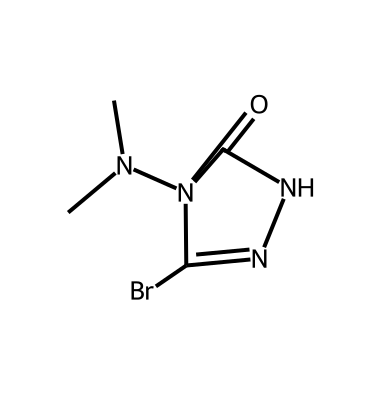 CN(C)n1c(Br)n[nH]c1=O